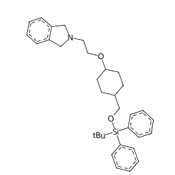 CC(C)(C)[Si](OCC1CCC(OCCN2Cc3ccccc3C2)CC1)(c1ccccc1)c1ccccc1